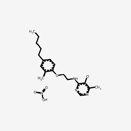 CCCCCc1ccc(OCCNc2ncnc(C)c2Cl)c(C)c1.O=[N+]([O-])O